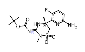 CN1/C(=N/C(=O)OC(C)(C)C)N[C@](C)(c2nc(N)ccc2F)CS1(=O)=O